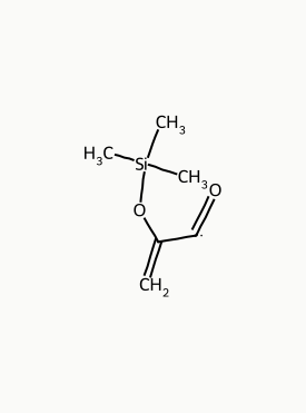 C=C([C]=O)O[Si](C)(C)C